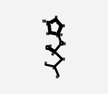 CC(C)CC(=O)On1ccnc1